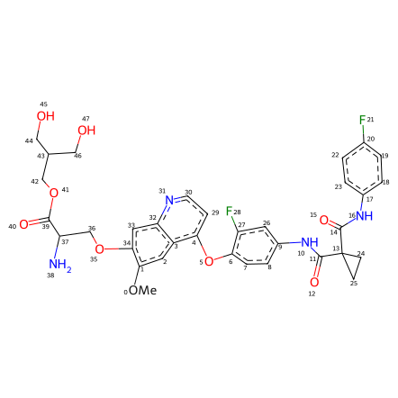 COc1cc2c(Oc3ccc(NC(=O)C4(C(=O)Nc5ccc(F)cc5)CC4)cc3F)ccnc2cc1OCC(N)C(=O)OCC(CO)CO